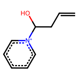 C=CCC(O)[n+]1ccccc1